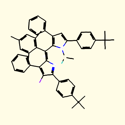 CB(F)n1c(-c2ccc(C(C)(C)C)cc2)cc(-c2ccccc2)c1/C(=C1\N=C(c2ccc(C(C)(C)C)cc2)C(I)=C1c1ccccc1)c1c(C)cc(C)cc1C